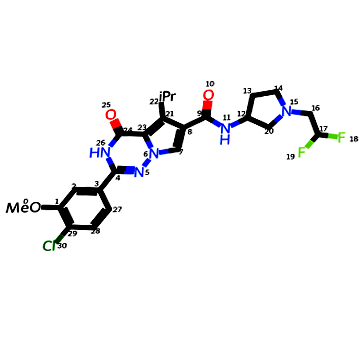 COc1cc(-c2nn3cc(C(=O)NC4CCN(CC(F)F)C4)c(C(C)C)c3c(=O)[nH]2)ccc1Cl